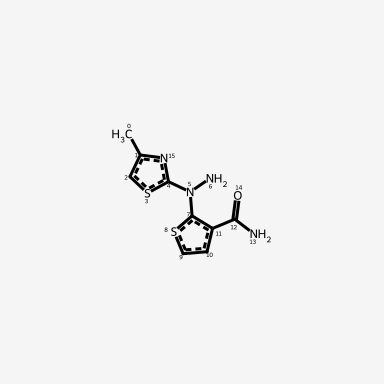 Cc1csc(N(N)c2sccc2C(N)=O)n1